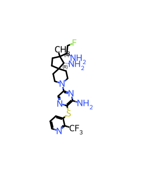 CC1([C@@H](N)CF)CCC2(CCN(c3cnc(Sc4cccnc4C(F)(F)F)c(N)n3)CC2)[C@H]1N